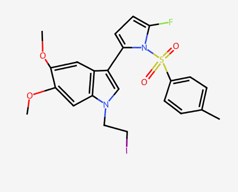 COc1cc2c(-c3ccc(F)n3S(=O)(=O)c3ccc(C)cc3)cn(CCI)c2cc1OC